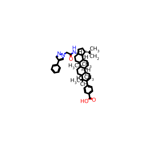 C=C(C)[C@@H]1CC[C@]2(NC(=O)Cn3cc(-c4ccccc4)cn3)CC[C@]3(C)[C@H](CC[C@@H]4[C@@]5(C)CC=C(c6ccc(C(=O)O)cc6)C(C)(C)[C@@H]5CC[C@]43C)[C@@H]12